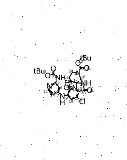 CC(C)(C)OC(=O)Nc1cc(Nc2cc(Cl)c3n(c2=O)C2(CN(C(=O)OC(C)(C)C)CCC2(F)F)NC3=O)ncn1